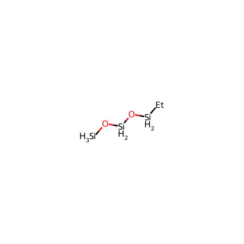 CC[SiH2]O[SiH2]O[SiH3]